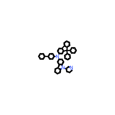 c1ccc(-c2ccc(N(c3ccc4c(c3)C(c3ccccc3)(c3ccccc3)c3ccccc3-4)c3ccc4c(c3)c3ccccc3n4-c3cccnc3)cc2)cc1